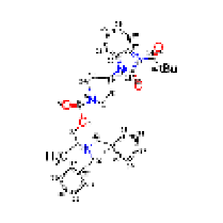 CC(COC(=O)N1CCC(n2c(=O)n(C(=O)C(C)(C)C)c3ccccc32)CC1)N(Cc1ccccc1)Cc1ccccc1